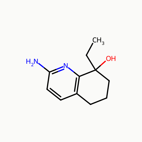 CCC1(O)CCCc2ccc(N)nc21